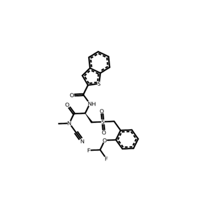 CN(C#N)C(=O)[C@H](CS(=O)(=O)Cc1ccccc1OC(F)F)NC(=O)c1cc2ccccc2s1